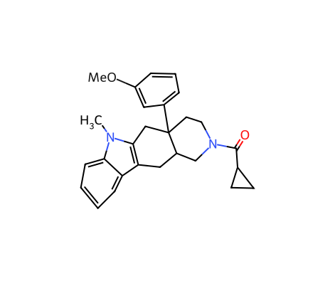 COc1cccc(C23CCN(C(=O)C4CC4)CC2Cc2c(n(C)c4ccccc24)C3)c1